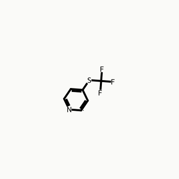 FC(F)(F)Sc1c[c]ncc1